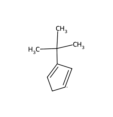 CC(C)(C)C1=CC[C]=C1